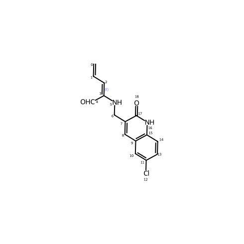 C=C/C=C(\C=O)NCc1cc2cc(Cl)ccc2[nH]c1=O